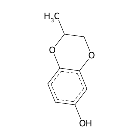 CC1COc2cc(O)ccc2O1